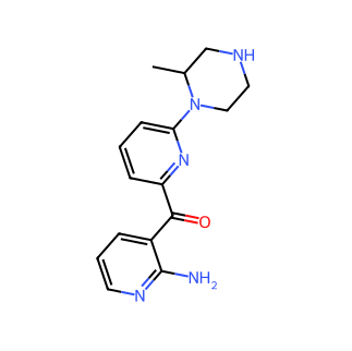 CC1CNCCN1c1cccc(C(=O)c2cccnc2N)n1